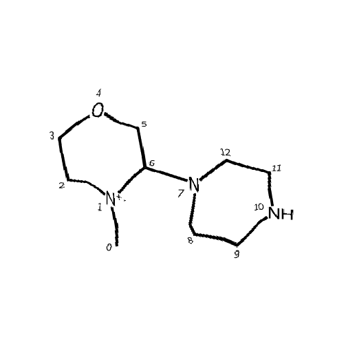 C[N+]1CCOCC1N1CCNCC1